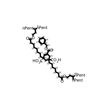 CCCCCC(CCCCC)CCOC(=O)CCCCCCCC1(C(=O)O)C=C(C(=O)OCc2ccccc2)CC(CCCCCCCC(=O)OCCC(CCCCC)CCCCC)(C(=O)O)C1